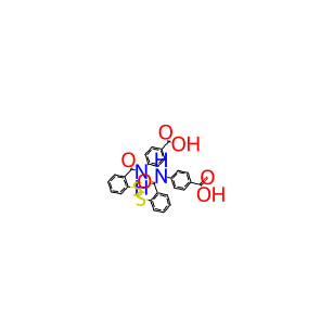 O=C(O)c1ccc(NC(=O)c2ccccc2SSc2ccccc2C(=O)Nc2ccc(C(=O)O)cc2)cc1